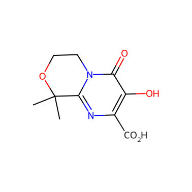 CC1(C)OCCn2c1nc(C(=O)O)c(O)c2=O